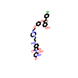 O=C1CCC(N2C(=O)c3ccc(NCCCN4CCCN(CCOc5ccc(Oc6c(-c7ccc(Br)cc7)sc7cc(O)ccc67)cc5)CC4)cc3C2=O)C(O)N1